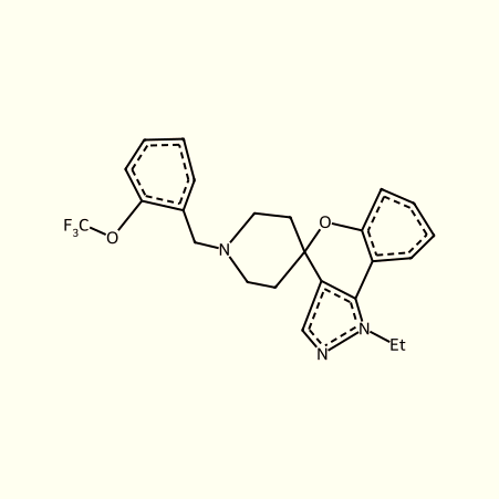 CCn1ncc2c1-c1ccccc1OC21CCN(Cc2ccccc2OC(F)(F)F)CC1